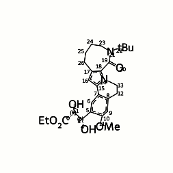 CCOC(=O)[C@H](O)[C@@H](O)c1cc2c(cc1OC)CCn1c-2cc2c1C(=O)N(C(C)(C)C)CCCC2